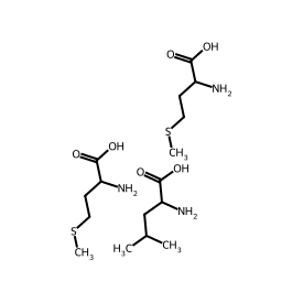 CC(C)CC(N)C(=O)O.CSCCC(N)C(=O)O.CSCCC(N)C(=O)O